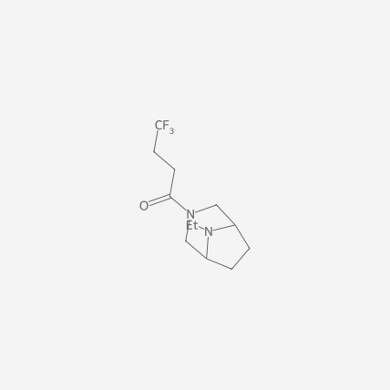 CCN1C2CCC1CN(C(=O)CCC(F)(F)F)C2